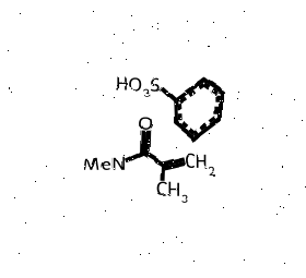 C=C(C)C(=O)NC.O=S(=O)(O)c1ccccc1